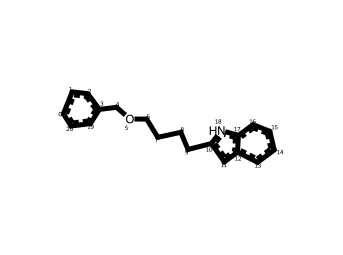 c1ccc(COCCCCc2cc3ccccc3[nH]2)cc1